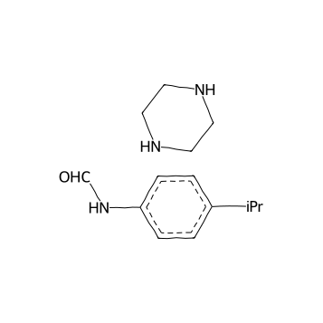 C1CNCCN1.CC(C)c1ccc(NC=O)cc1